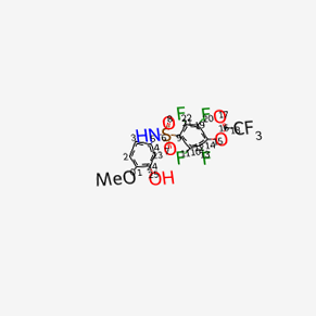 COc1ccc(NS(=O)(=O)c2c(F)c(F)c(OC(=O)C(F)(F)F)c(F)c2F)cc1O